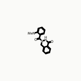 CNc1ccccc1C(=O)N1Cc2ccccc2C(=O)N1